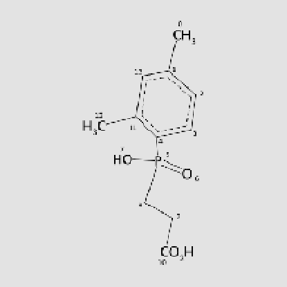 Cc1ccc(P(=O)(O)CCC(=O)O)c(C)c1